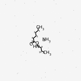 CCCCCC(=O)ONCCC.N